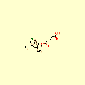 CC(C)(CCl)CC(C)(C)COC(=O)CCCC(=O)O